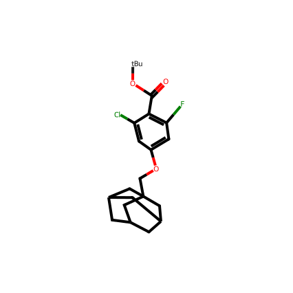 CC(C)(C)OC(=O)c1c(F)cc(OCC23CC4CC(CC(C4)C2)C3)cc1Cl